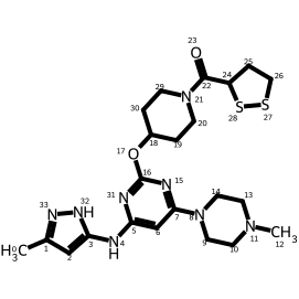 Cc1cc(Nc2cc(N3CCN(C)CC3)nc(OC3CCN(C(=O)C4CCSS4)CC3)n2)[nH]n1